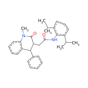 CC(C)c1cccc(C(C)C)c1NC(=O)CC1C(=O)N(C)c2ccccc2C1c1ccccc1